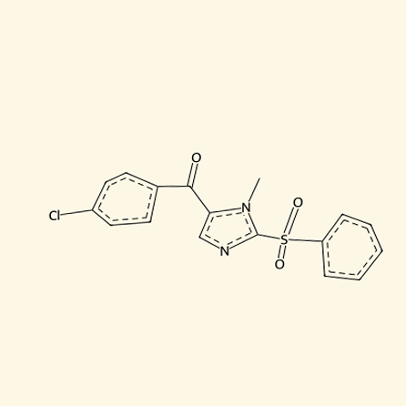 Cn1c(C(=O)c2ccc(Cl)cc2)cnc1S(=O)(=O)c1ccccc1